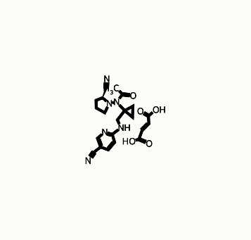 CC(=O)N(N1CCC[C@H]1C#N)C1(CNc2ccc(C#N)cn2)CC1.O=C(O)/C=C/C(=O)O